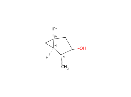 CC(C)[C@]12CC(O)[C@H](C)[C@H]1C2